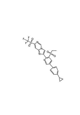 CCS(=O)(=O)c1cc(-c2ccc(C3CC3)cc2)cnc1-c1cn2cnc(S(=O)(=O)C(F)(F)F)cc2n1